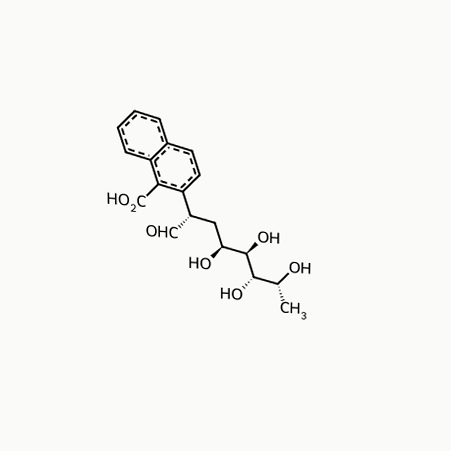 C[C@@H](O)[C@H](O)[C@H](O)[C@@H](O)C[C@H](C=O)c1ccc2ccccc2c1C(=O)O